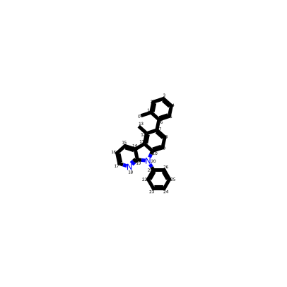 Cc1ccccc1-c1ccc2c(c1C)c1cccnc1n2-c1ccccc1